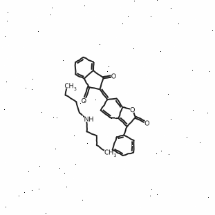 CCCCNCCCC.O=C1Oc2cc(=C3C(=O)c4ccccc4C3=O)ccc2=C1c1ccccc1